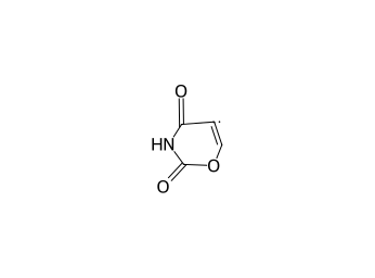 O=c1[c]coc(=O)[nH]1